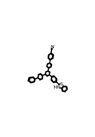 N#Cc1ccc(-c2ccc(-c3cc(-c4ccc(-c5ccccc5)cc4)cc(-c4ccc(C5Nc6ccccc6S5)cc4)c3)cc2)cc1